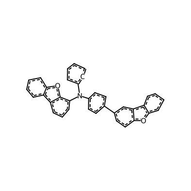 c1ccc(N(c2ccc(-c3ccc4oc5ccccc5c4c3)cc2)c2cccc3c2oc2ccccc23)cc1